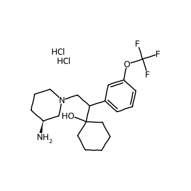 Cl.Cl.N[C@H]1CCCN(CC(c2cccc(OC(F)(F)F)c2)C2(O)CCCCC2)C1